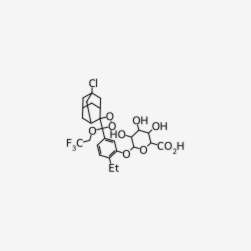 CCc1ccc(C2(OCC(F)(F)F)OOC23C2CC4CC3CC(Cl)(C4)C2)cc1OC1OC(C(=O)O)C(O)C(O)C1O